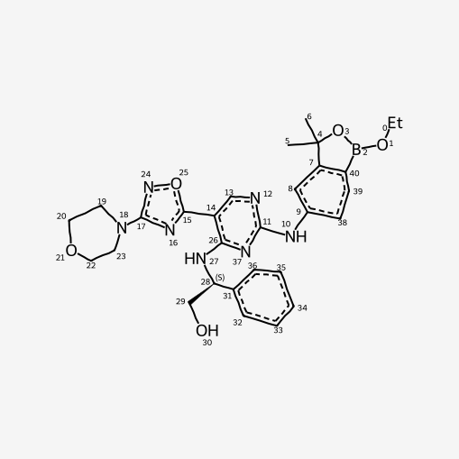 CCOB1OC(C)(C)c2cc(Nc3ncc(-c4nc(N5CCOCC5)no4)c(N[C@H](CO)c4ccccc4)n3)ccc21